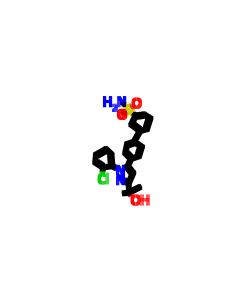 CC(C)(O)c1cc(-c2ccc(-c3cccc(S(N)(=O)=O)c3)cc2)n(-c2ccccc2Cl)n1